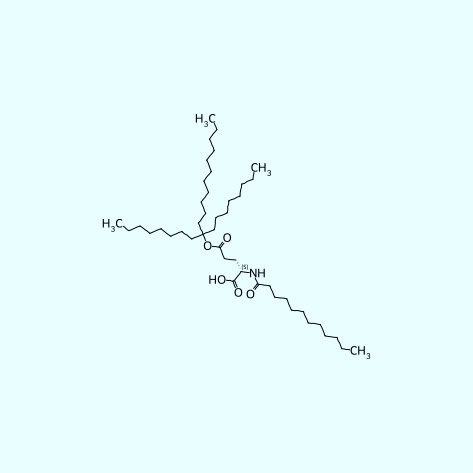 CCCCCCCCCCCC(=O)N[C@@H](CCC(=O)OC(CCCCCCCC)(CCCCCCCC)CCCCCCCCCCC)C(=O)O